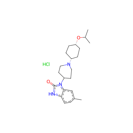 Cc1ccc2[nH]c(=O)n(C3CCN([C@H]4CC[C@@H](OC(C)C)CC4)CC3)c2c1.Cl